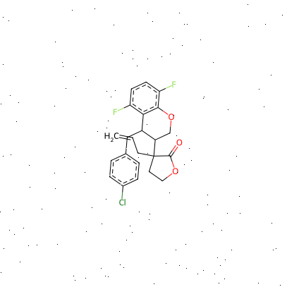 C=CCC1(C2COc3c(F)ccc(F)c3C2Cc2ccc(Cl)cc2)CCOC1=O